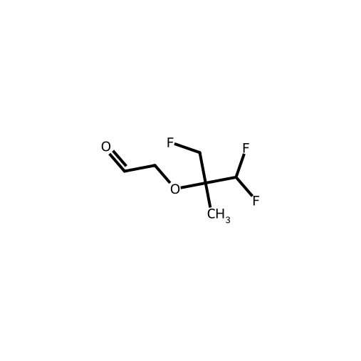 CC(CF)(OCC=O)C(F)F